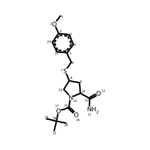 COc1ccc(CSC2CC(C(N)=O)N(C(=O)OC(C)(C)C)C2)cc1